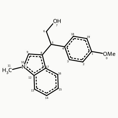 COc1ccc(C(CO)c2cn(C)c3ccccc23)cc1